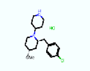 CO[C@@H]1CCN(C2CCNCC2)[C@@H](Cc2ccc(Cl)cc2)C1.Cl